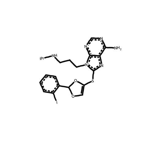 CC(C)NCCCn1c(SC2=COC(c3ccccc3I)O2)nc2c(N)ncnc21